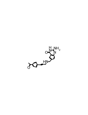 CC(=O)c1ccc(C#CCNCc2ccc3nc(N)[nH]c(=O)c3c2)cc1